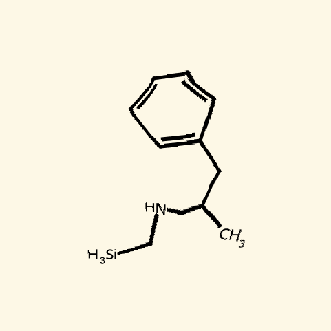 CC(Cc1ccccc1)NC[SiH3]